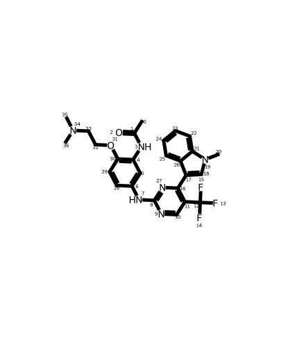 CC(=O)Nc1cc(Nc2ncc(C(F)(F)F)c(-c3cn(C)c4ccccc34)n2)ccc1OCCN(C)C